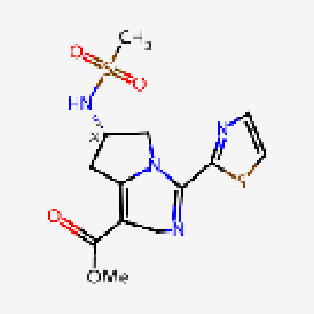 COC(=O)C1=C2C[C@H](NS(C)(=O)=O)CN2C(c2nccs2)=NC1